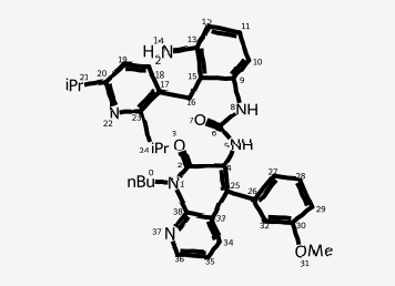 CCCCn1c(=O)c(NC(=O)Nc2cccc(N)c2Cc2ccc(C(C)C)nc2C(C)C)c(-c2cccc(OC)c2)c2cccnc21